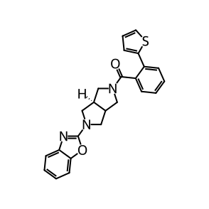 O=C(c1ccccc1-c1cccs1)N1CC2CN(c3nc4ccccc4o3)C[C@H]2C1